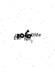 CCS(=O)(=O)N(C)c1ccc(-c2c(N)c3ccc(OC)cc3n2CC2CC2)cc1